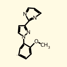 COc1cc[c]cc1-n1ccc(-c2ncccn2)n1